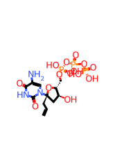 C=CC[C@]1(n2cc(N)c(=O)[nH]c2=O)C[C@H](O)[C@@H](COP(=O)(O)OP(=O)(O)OP(=O)(O)O)O1